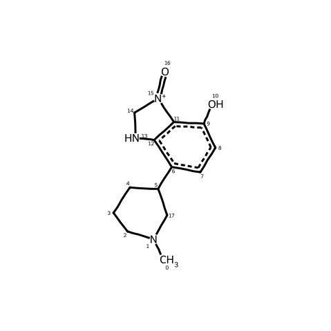 CN1CCCC(c2ccc(O)c3c2NC[N+]3=O)C1